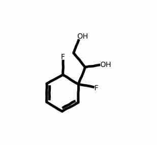 OCC(O)C1(F)C=CC=CC1F